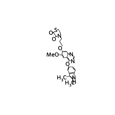 COc1cc2c(Oc3ccc4[nH]c(C)c(C)c4c3)ncnc2cc1OCCCN1CCSC(=O)C1=O